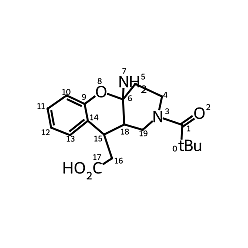 CC(C)(C)C(=O)N1CCC2(N)Oc3ccccc3C(CC(=O)O)C2C1